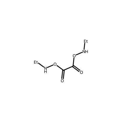 CCNOC(=O)C(=O)ONCC